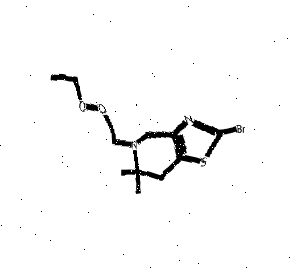 CCOOCN1Cc2nc(Br)sc2CC1(C)C